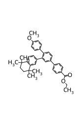 CCOC(=O)c1ccc(-c2ccc(-c3ccc(OC)cc3)c(-c3ccc4c(c3)C(C)(C)CCC4(C)C)c2)cc1